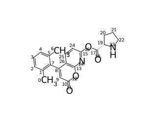 Cc1cccc(C)c1-c1cc(=O)oc2nc(OC(=O)[C@@H]3CCCN3)ccc12